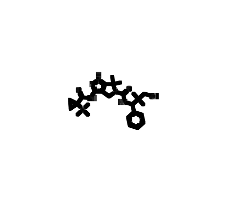 CC(C)(CO)C(NC(=O)N1Cc2c(NC(=O)C3([Si](C)(C)C)CC3)n[nH]c2C1(C)C)c1ccccc1